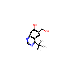 CC(C)(C)c1ncnc2cc(O)c(CO)cc12